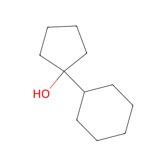 OC1(C2CCCCC2)CCCC1